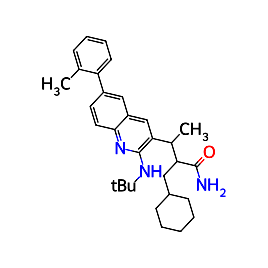 Cc1ccccc1-c1ccc2nc(NC(C)(C)C)c(C(C)C(CC3CCCCC3)C(N)=O)cc2c1